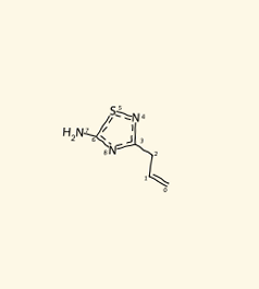 C=CCc1nsc(N)n1